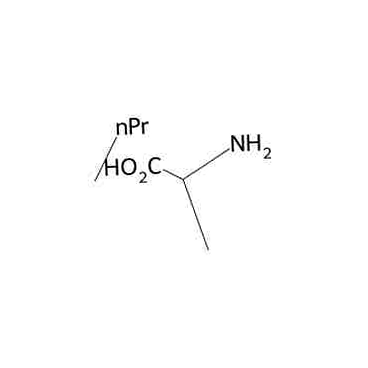 CC(N)C(=O)O.CCCC